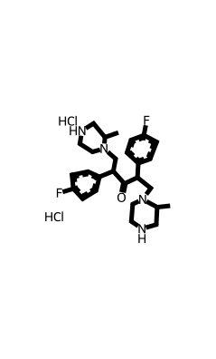 CC1CNCCN1CC(C(=O)C(CN1CCNCC1C)c1ccc(F)cc1)c1ccc(F)cc1.Cl.Cl